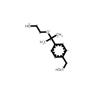 CCCCCCCCCc1ccc(C(C)(C)OCCO)cc1